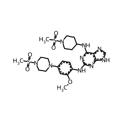 COc1cc(N2CCN(S(C)(=O)=O)CC2)ccc1Nc1nc(NC2CCN(S(C)(=O)=O)CC2)c2nc[nH]c2n1